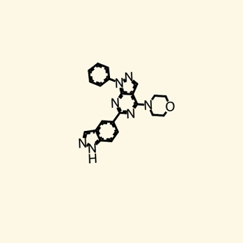 c1ccc(-n2ncc3c(N4CCOCC4)nc(-c4ccc5[nH]ncc5c4)nc32)cc1